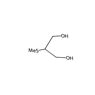 CSC(CO)CO